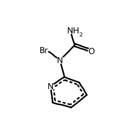 NC(=O)N(Br)c1ccccn1